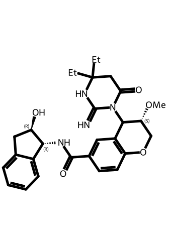 CCC1(CC)CC(=O)N(C2c3cc(C(=O)N[C@@H]4c5ccccc5C[C@H]4O)ccc3OC[C@H]2OC)C(=N)N1